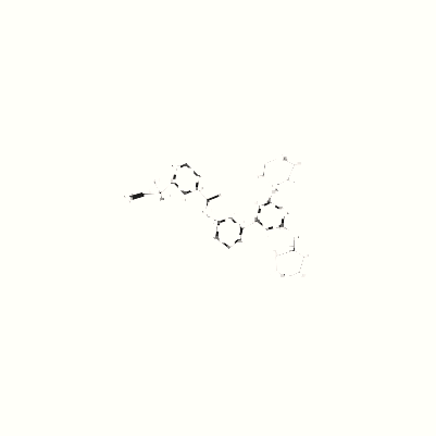 Cc1ccc(NC(=O)c2ccnc(C(C)(C)C#N)c2)cc1-c1cc(OC2CCOCC2)nc(N2CCOCC2)c1